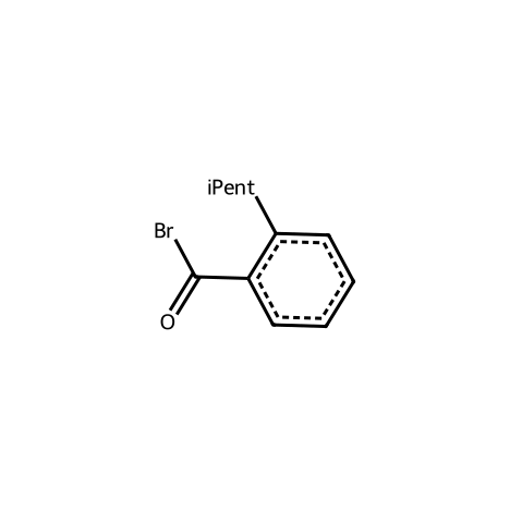 CCCC(C)c1ccccc1C(=O)Br